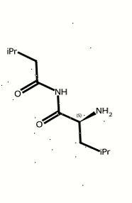 CC(C)CC(=O)NC(=O)[C@@H](N)CC(C)C